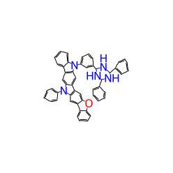 c1ccc(C2NC(c3ccccc3)NC(c3cccc(-n4c5ccccc5c5cc6c(cc54)c4cc5oc7ccccc7c5cc4n6-c4ccccc4)c3)N2)cc1